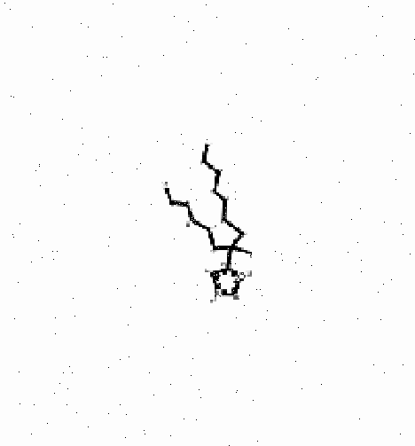 CCCCCCCC(C)(CCCCCC)c1cnco1